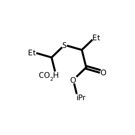 CCC(SC(CC)C(=O)OC(C)C)C(=O)O